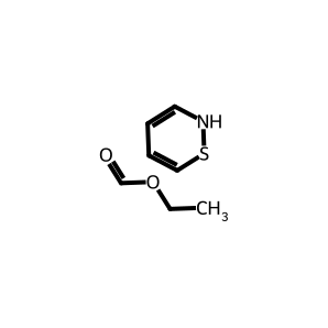 C1=CNSC=C1.CCOC=O